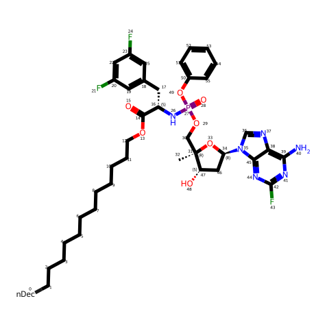 CCCCCCCCCCCCCCCCCCCCCCOC(=O)[C@H](Cc1cc(F)cc(F)c1)NP(=O)(OC[C@@]1(C)O[C@@H](n2cnc3c(N)nc(F)nc32)C[C@@H]1O)Oc1ccccc1